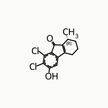 C[C@@H]1CCCC2=C1C(=O)c1c2cc(O)c(Cl)c1Cl